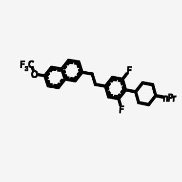 CCCC1CCC(c2c(F)cc(CCc3ccc4cc(OC(F)(F)F)ccc4c3)cc2F)CC1